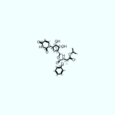 CC(C)OC(=O)[C@H](C)N[P@](=O)(OC[C@H]1S[C@@H](n2ccc(=O)[nH]c2=O)[C@H](O)[C@@H]1O)Oc1ccccc1